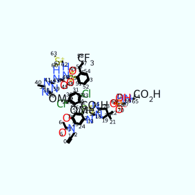 C#CCN1C(=O)COc2cc(F)c(/N=c3\snc4n3CC(C)(C)C4)cc21.COc1c(Cl)ccc(Cl)c1C(=O)O.COc1nc(C)nc(NC(=O)NS(=O)(=O)c2ccccc2CCC(F)(F)F)n1.C[S+](C)C.O=C(O)CNCP(=O)([O-])O